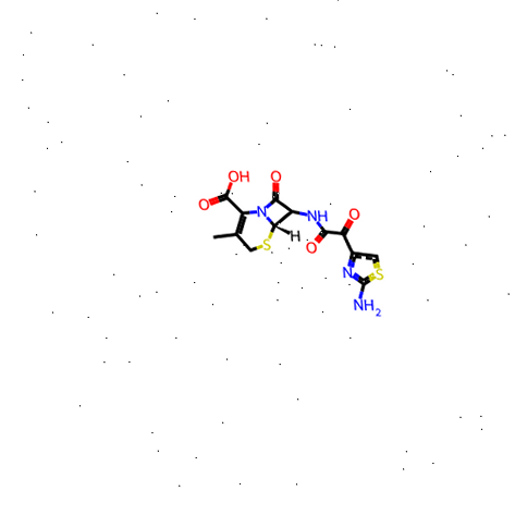 CC1=C(C(=O)O)N2C(=O)C(NC(=O)C(=O)c3csc(N)n3)[C@@H]2SC1